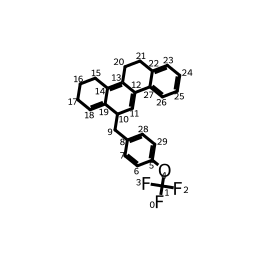 FC(F)(F)Oc1ccc(CC2C=C3C(=C4CCCC=C42)CCc2ccccc23)cc1